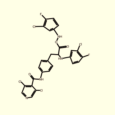 O=C(Nc1ccc(CC(Nc2ccc(F)c(Cl)c2)C(=O)ONc2ccc(F)c(Cl)c2)cc1)c1c(Cl)cncc1Cl